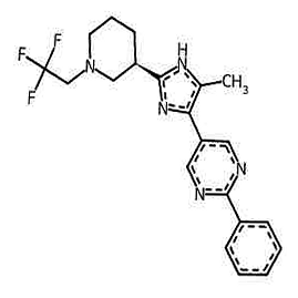 Cc1[nH]c([C@@H]2CCCN(CC(F)(F)F)C2)nc1-c1cnc(-c2ccccc2)nc1